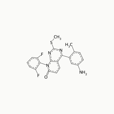 CSc1nc(-c2cc(N)ccc2C)c2ccc(=O)n(-c3c(F)cccc3F)c2n1